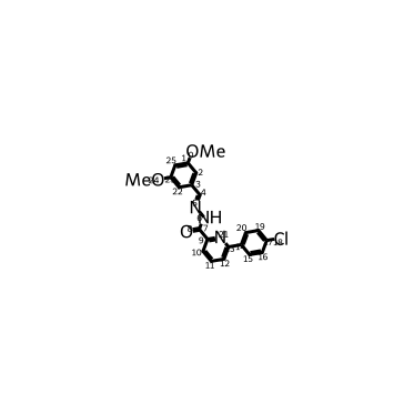 COc1cc(/C=N/NC(=O)c2cccc(-c3ccc(Cl)cc3)n2)cc(OC)c1